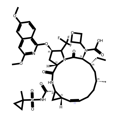 CC[C@@H]1C[C@H](C)CC/C=C\[C@@H]2C[C@@]2(C(=O)NS(=O)(=O)C2(C)CC2)NC(=O)[C@@H]2C[C@@H](Oc3nc(OC)cc4cc(OC)ccc34)C(C(F)(F)F)N2C(=O)[C@H]1N(C(=O)O)C1COC1